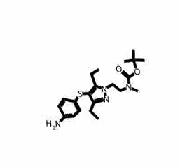 CCc1nn(CCN(C)C(=O)OC(C)(C)C)c(CC)c1Sc1ccc(N)cc1